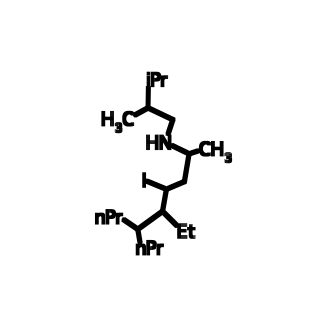 CCCC(CCC)C(CC)C(I)CC(C)NCC(C)C(C)C